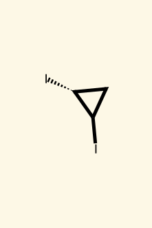 IC1C[C@H]1I